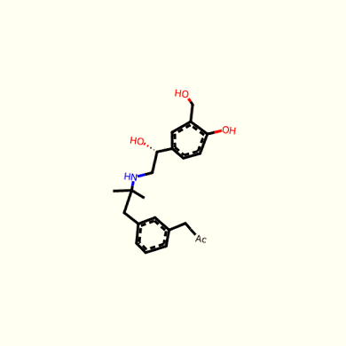 CC(=O)Cc1cccc(CC(C)(C)NC[C@H](O)c2ccc(O)c(CO)c2)c1